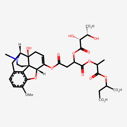 COc1ccc2c3c1O[C@H]1C(OC(=O)CC(OC(=O)[C@H](O)[C@@H](O)C(=O)O)C(=O)OC(C)C(=O)OC(CC(=O)O)C(=O)O)=CC[C@@]4(O)[C@@H](C2)N(C)CC[C@]314